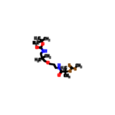 CSC(=S)SC(C)(C)C(=O)NCCCOCC(C)(C)CNC(=O)OC(C)(C)C